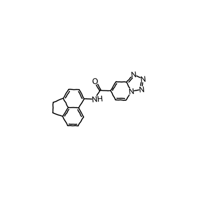 O=C(Nc1ccc2c3c(cccc13)CC2)c1ccn2nnnc2c1